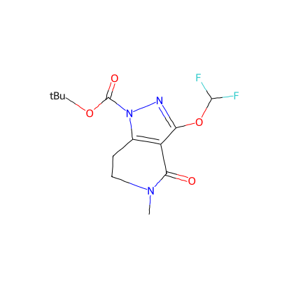 CN1CCc2c(c(OC(F)F)nn2C(=O)OC(C)(C)C)C1=O